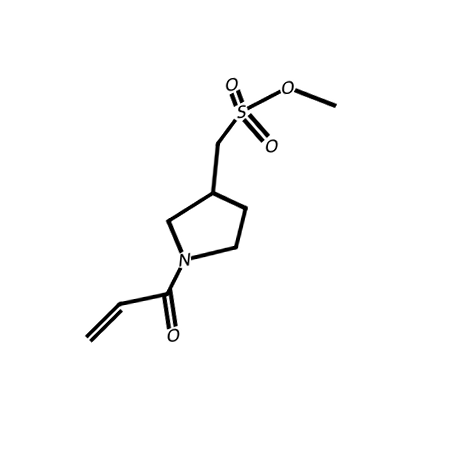 C=CC(=O)N1CCC(CS(=O)(=O)OC)C1